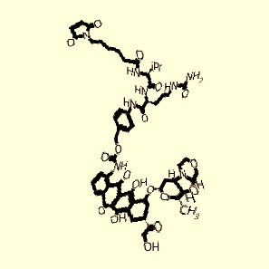 CC(C)[C@H](NC(=O)CCCCCN1C(=O)C=CC1=O)C(=O)N[C@@H](CCCNC(N)=O)C(=O)Nc1ccc(COC(=O)Nc2cccc3c2C(=O)c2c(O)c4c(c(O)c2C3=O)C[C@@H](C(=O)CO)CC4O[C@H]2C[C@H]3[C@H](O[C@@H]4COCCN43)[C@H](C)O2)cc1